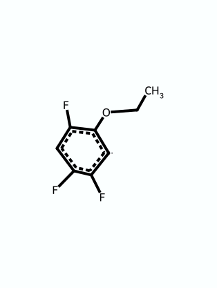 CCOc1[c]c(F)c(F)cc1F